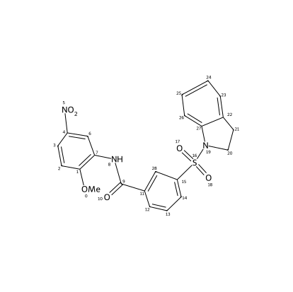 COc1ccc([N+](=O)[O-])cc1NC(=O)c1cccc(S(=O)(=O)N2CCc3ccccc32)c1